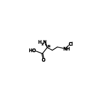 N[C@@H](CCNCl)C(=O)O